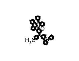 Cc1ccc(N(c2ccc3c(c2)Oc2cccc4c2B3c2c(c3ccccc3c3ccccc23)N4c2ccccc2)c2ccc3c(c2)c2ccccc2n3-c2ccccc2)cc1